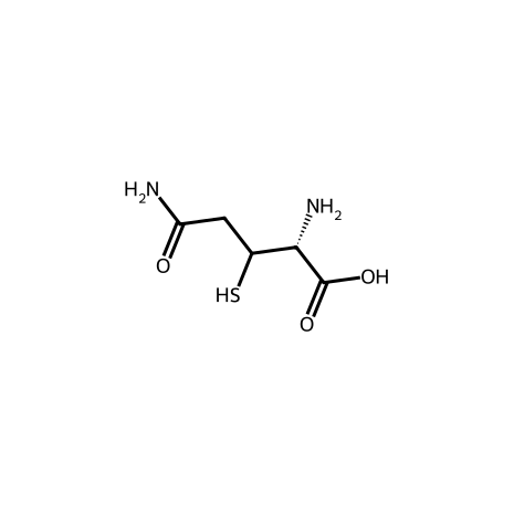 NC(=O)CC(S)[C@H](N)C(=O)O